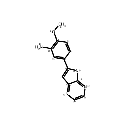 COc1ccc(-c2cc3nccnc3[nH]2)cc1N